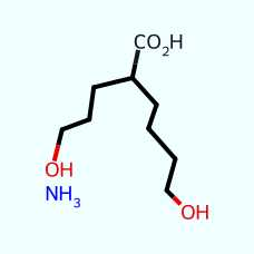 N.O=C(O)C(CCCO)CCCCO